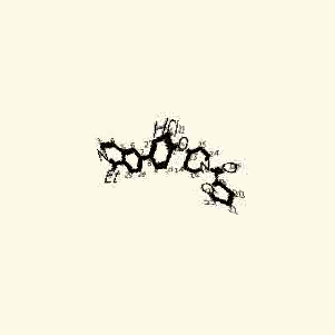 CCc1nccc2cc(-c3ccc(OC4CCN(C(=O)[C@H]5CCCO5)CC4)cc3)ccc12.Cl